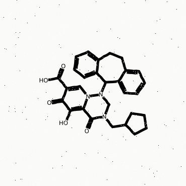 O=C(O)c1cn2c(c(O)c1=O)C(=O)N(CC1CCCC1)CN2C1c2ccccc2CCc2ccccc21